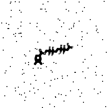 CC1C2CC(C(=O)OCC(F)(F)C(F)(F)CCC(F)(F)C(F)(F)CC(F)F)C(C2)C1C